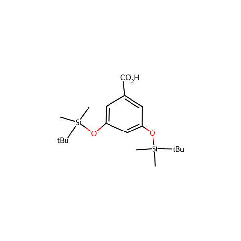 CC(C)(C)[Si](C)(C)Oc1cc(O[Si](C)(C)C(C)(C)C)cc(C(=O)O)c1